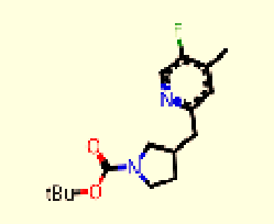 Cc1cc(CC2CCN(C(=O)OC(C)(C)C)C2)ncc1F